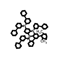 Cc1cccc(C)c1-c1cc2c3c(c1)N(c1cccc(-c4ccccc4)c1)c1cc(N(c4cccc(-c5ccccc5)c4)c4cccc(-c5ccccc5)c4)ccc1B3N(c1cccc(-c3ccccc3)c1)c1ccccc1-2